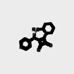 CC1CCCCN1c1c(Nc2ccncc2)c(=O)c1=O